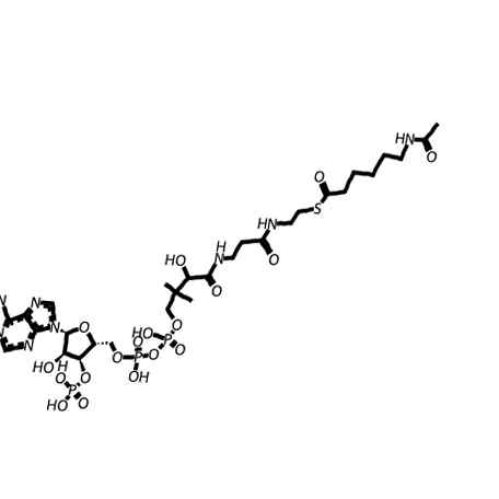 CC(=O)NCCCCCC(=O)SCCNC(=O)CCNC(=O)C(O)C(C)(C)COP(=O)(O)OP(=O)(O)OC[C@H]1O[C@@H](n2cnc3c(N)ncnc32)[C@H](O)[C@@H]1OP(=O)(O)O